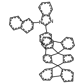 c1ccc2c(c1)-c1ccccc1C21c2ccccc2C2(c3ccccc3-c3ccccc32)c2c(-c3ccc(-c4nc5ccccc5n4-c4ccc5ccccc5c4)cc3)cccc21